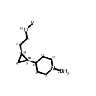 BN1CCC([C@H]2C[C@H]2CCOC)CC1